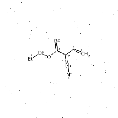 C=CC(=[N+]=[N-])C(=O)OOCC